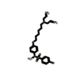 C=CCN(CC=C)CCCCCCOc1ccc(N(C)S(=O)(=O)c2ccc(Br)cc2)cc1